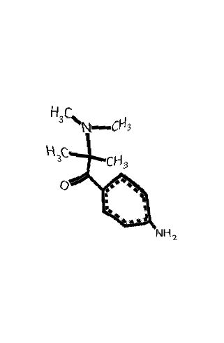 CN(C)C(C)(C)C(=O)c1ccc(N)cc1